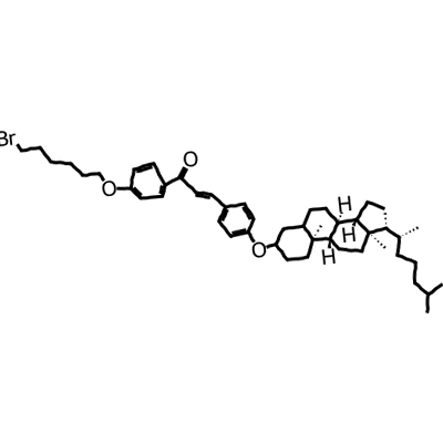 CC(C)CCC[C@@H](C)[C@H]1CC[C@H]2[C@@H]3CCC4CC(Oc5ccc(/C=C/C(=O)c6ccc(OCCCCCCBr)cc6)cc5)CC[C@]4(C)[C@H]3CC[C@]12C